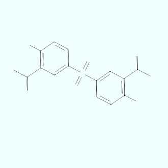 Cc1ccc(S(=O)(=O)c2ccc(C)c(C(I)I)c2)cc1C(I)I